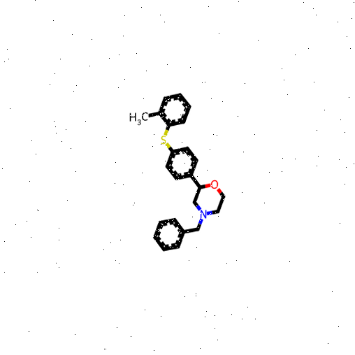 Cc1ccccc1Sc1ccc(C2CN(Cc3ccccc3)CCO2)cc1